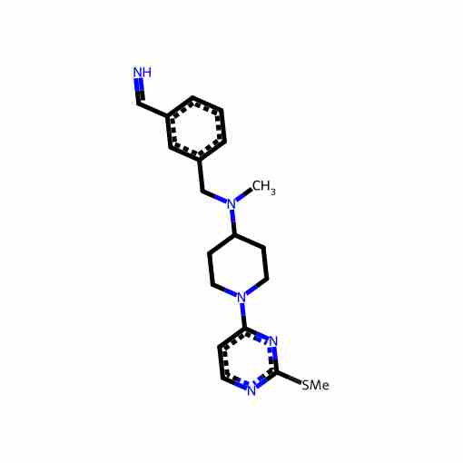 CSc1nccc(N2CCC(N(C)Cc3cccc(C=N)c3)CC2)n1